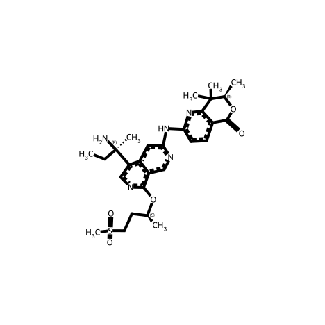 CC[C@@](C)(N)c1cnc(O[C@@H](C)CCS(C)(=O)=O)c2cnc(Nc3ccc4c(n3)C(C)(C)[C@@H](C)OC4=O)cc12